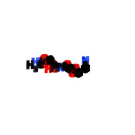 CNS(=O)(=O)c1cccc(OC[C@@H](O)CNC2COC3(CCN(S(=O)(=O)c4cccc(-c5cccc(C#N)c5)c4)CC3)C2)c1